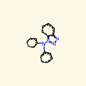 c1ccc(N(c2ccccc2)n2nnc3ccccc32)cc1